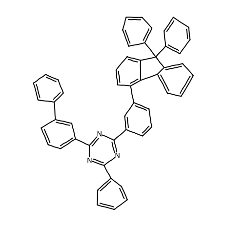 c1ccc(-c2cccc(-c3nc(-c4ccccc4)nc(-c4cccc(-c5cccc6c5-c5ccccc5C6(c5ccccc5)c5ccccc5)c4)n3)c2)cc1